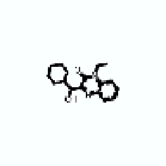 CCn1c(=O)c(C(O)C2CCCCC2)nc2ccccc21